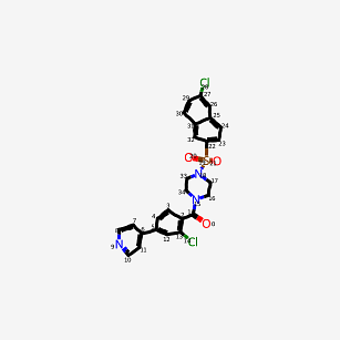 O=C(c1ccc(-c2ccncc2)cc1Cl)N1CCN(S(=O)(=O)c2ccc3cc(Cl)ccc3c2)CC1